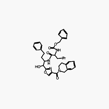 CC(C)CC(NC(=O)OCc1ccccc1)C(=O)NC(CCc1ccccc1)C(O)c1nc(C(=O)N2CCc3ccccc3C2)co1